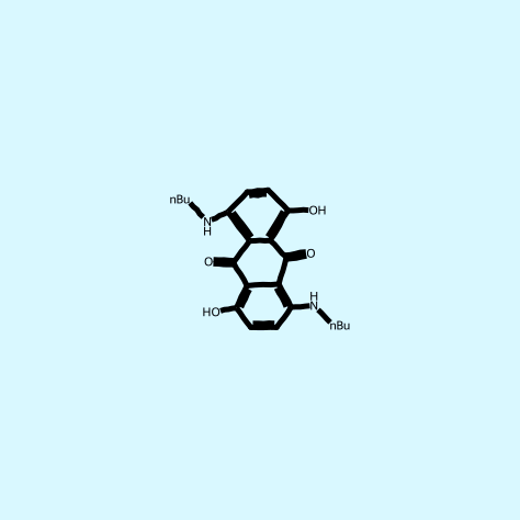 CCCCNc1ccc(O)c2c1C(=O)c1c(O)ccc(NCCCC)c1C2=O